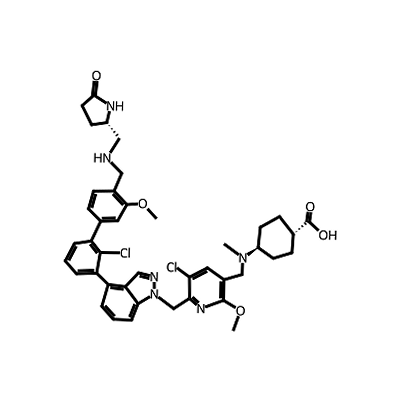 COc1cc(-c2cccc(-c3cccc4c3cnn4Cc3nc(OC)c(CN(C)[C@H]4CC[C@H](C(=O)O)CC4)cc3Cl)c2Cl)ccc1CNC[C@@H]1CCC(=O)N1